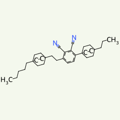 CCCCCC12CCC(CCc3ccc(C45CCC(CCC)(CC4)CC5)c(C#N)c3C#N)(CC1)CC2